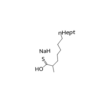 CCCCCCCCCCCCC(C)C(O)=S.[NaH]